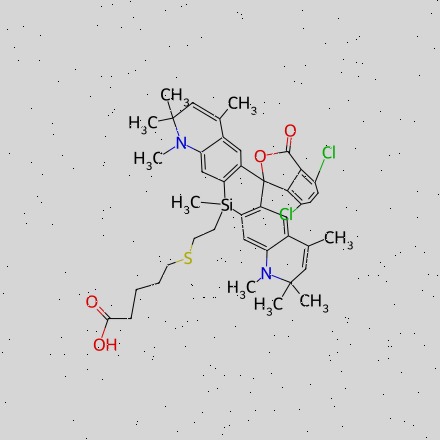 CC1=CC(C)(C)N(C)c2cc3c(cc21)C1(OC(=O)c2c(Cl)ccc(Cl)c21)c1cc2c(cc1[Si]3(C)CCSCCCCC(=O)O)N(C)C(C)(C)C=C2C